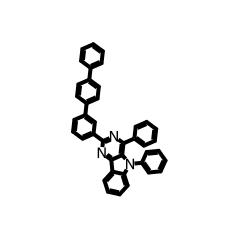 c1ccc(-c2ccc(-c3cccc(-c4nc(-c5ccccc5)c5c(n4)c4ccccc4n5-c4ccccc4)c3)cc2)cc1